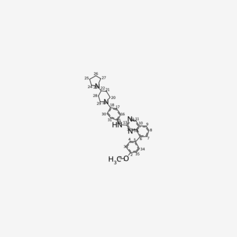 COc1ccc(-c2cccc3cnc(Nc4ccc(N5CCC(N6CCCC6)CC5)cc4)nc23)cc1